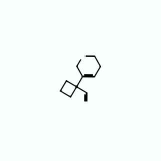 O=CC1(C2=CCCOC2)CCC1